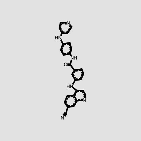 N#Cc1ccc2c(Nc3cccc(C(=O)Nc4ccc(Nc5ccncc5)cc4)c3)ccnc2c1